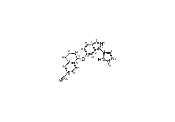 Cc1ncc(-n2ncc3ccc(OC4CCCc5cc(C#N)ccc54)cc32)[nH]1